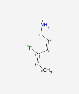 C/C=C(F)\C=C/CN